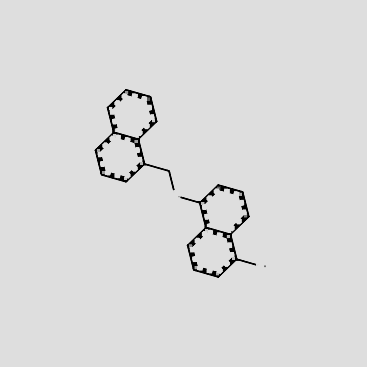 Oc1cccc2c(OCc3cccc4ccccc34)cccc12